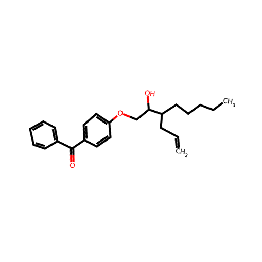 C=CCC(CCCCC)C(O)COc1ccc(C(=O)c2ccccc2)cc1